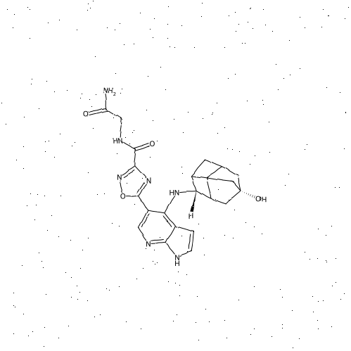 NC(=O)CNC(=O)c1noc(-c2cnc3[nH]ccc3c2N[C@H]2C3CC4CC2C[C@@](O)(C4)C3)n1